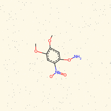 COc1cc(ON)c([N+](=O)[O-])cc1OC